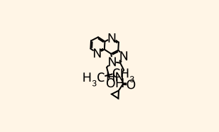 CC(C)(O)Cn1c(CNC(=O)C2CC2)nc2cnc3cccnc3c21